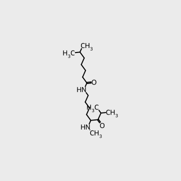 CNC(CCCCNC(=O)CCCCC(C)C)C(=O)C(C)C